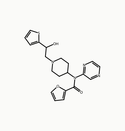 O=C(c1ccco1)N(c1cnccn1)C1CCN(CC(O)c2cccs2)CC1